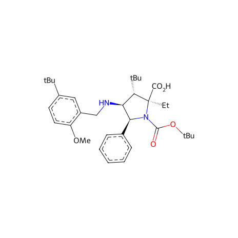 CC[C@@]1(C(=O)O)[C@@H](C(C)(C)C)[C@H](NCc2cc(C(C)(C)C)ccc2OC)[C@H](c2ccccc2)N1C(=O)OC(C)(C)C